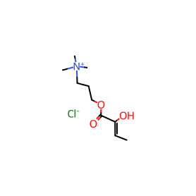 C/C=C(\O)C(=O)OCCC[N+](C)(C)C.[Cl-]